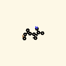 C=C(c1cc(-c2ccccc2)cc(-c2ccncc2)c1)c1ccc(-c2ccc3c(c2)-c2ccccc2C3c2ccc3sc4ccccc4c3c2)cc1-c1ccccc1C